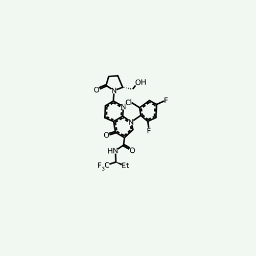 CC[C@H](NC(=O)c1cn(-c2c(F)cc(F)cc2Cl)c2nc(N3C(=O)CC[C@@H]3CO)ccc2c1=O)C(F)(F)F